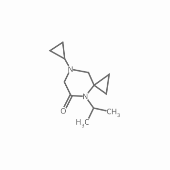 CC(C)N1C(=O)CN(C2CC2)CC12CC2